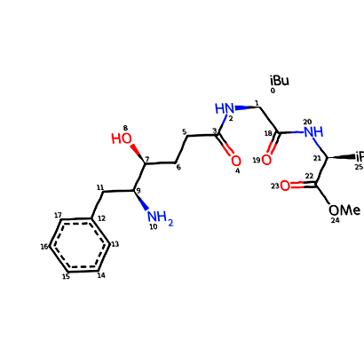 CC[C@H](C)[C@H](NC(=O)CC[C@H](O)[C@@H](N)Cc1ccccc1)C(=O)N[C@H](C(=O)OC)C(C)C